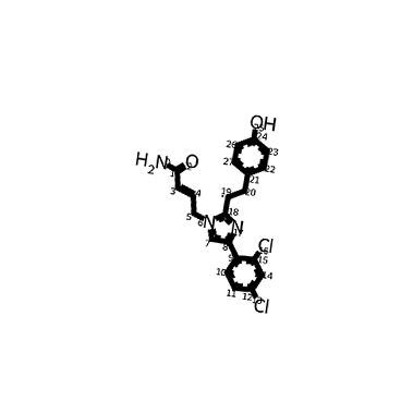 NC(=O)C=CCn1cc(-c2ccc(Cl)cc2Cl)nc1[CH]Cc1ccc(O)cc1